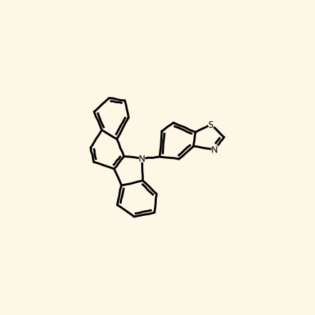 c1ccc2c(c1)ccc1c3ccccc3n(-c3ccc4scnc4c3)c21